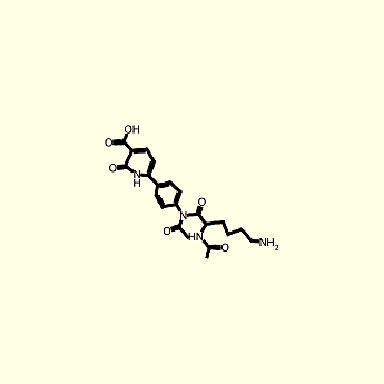 CC(=O)NC(CCCCN)C(=O)N(C(C)=O)c1ccc(-c2ccc(C(=O)O)c(=O)[nH]2)cc1